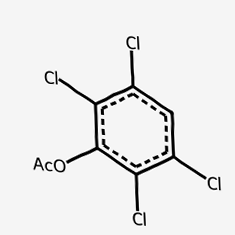 CC(=O)Oc1c(Cl)c(Cl)cc(Cl)c1Cl